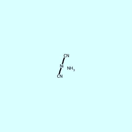 N.N#[C][Ni][C]#N